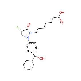 O=C(O)CCCCCCN1C(=O)C(F)CN1c1ccc(C(O)C2CCCCC2)cc1